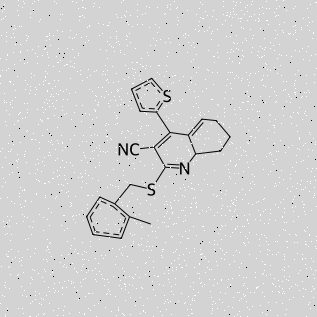 Cc1ccccc1CSC1=NC2CCCC=C2C(c2cccs2)=C1C#N